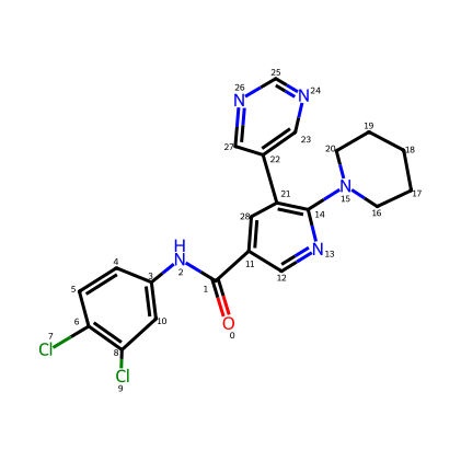 O=C(Nc1ccc(Cl)c(Cl)c1)c1cnc(N2CCCCC2)c(-c2cncnc2)c1